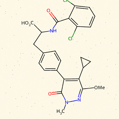 COc1nn(C)c(=O)c(-c2ccc(CC(NC(=O)c3c(Cl)cccc3Cl)C(=O)O)cc2)c1C1CC1